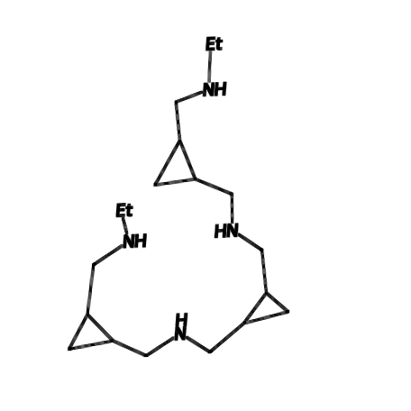 CCNCC1CC1CNCC1CC1CNCC1CC1CNCC